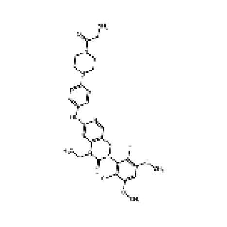 CCN1C(=O)N(c2c(Cl)c(OC)cc(OC)c2Cl)Cc2cnc(Nc3ccc(N4CCN(C(=O)CN)CC4)cc3)nc21